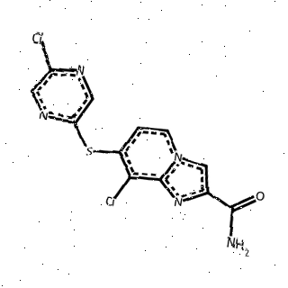 NC(=O)c1cn2ccc(Sc3cnc(Cl)cn3)c(Cl)c2n1